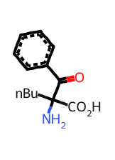 CCCCC(N)(C(=O)O)C(=O)c1ccccc1